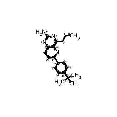 CCCc1nc(N)nc2ccc(-c3ccc(C(C)(C)C)cc3)nc12